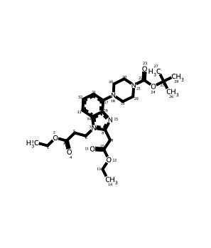 CCOC(=O)CCn1c(CC(=O)OCC)nc2c(N3CCN(C(=O)OC(C)(C)C)CC3)cccc21